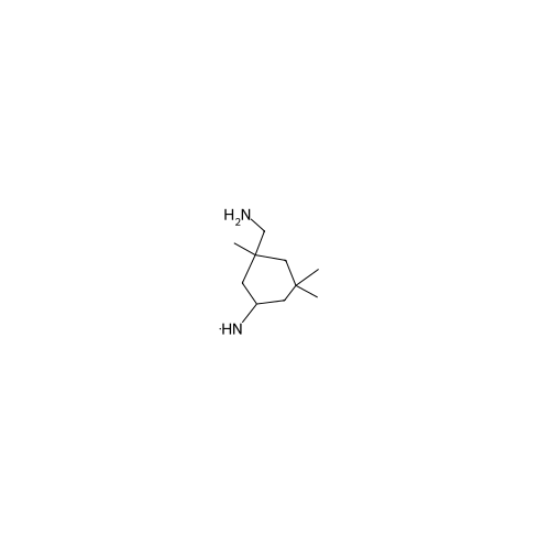 CC1(C)CC([NH])CC(C)(CN)C1